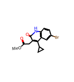 COC(=O)Cc1c(C2CC2)c2cc(Br)ccc2[nH]c1=O